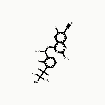 C#Cc1cc2nc(C)nc(N[C@H](C)c3cccc(C(F)(F)C(C)(C)O)c3F)c2cc1O